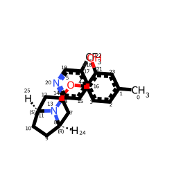 Cc1ccc(O[C@H]2C[C@H]3CC[C@@H](C2)N3c2ccc(C(F)(F)F)cn2)c(O)c1